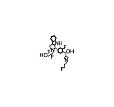 C[C@@H]1Cc2c([nH]c3ccccc23)[C@@H](c2ccc(C(O)C3CN(CCCF)C3)c(F)c2)N1CC(F)(F)CO